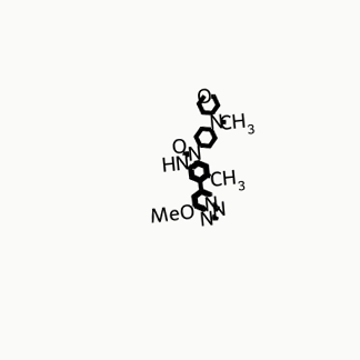 COc1cc(-c2cc3[nH]c(=O)n(C4CCC(N(C)C5CCOCC5)CC4)c3cc2C)cn2ncnc12